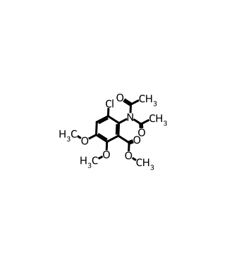 COC(=O)c1c(OC)c(OC)cc(Cl)c1N(C(C)=O)C(C)=O